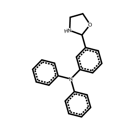 c1ccc(N(c2ccccc2)c2cccc(C3NCCO3)c2)cc1